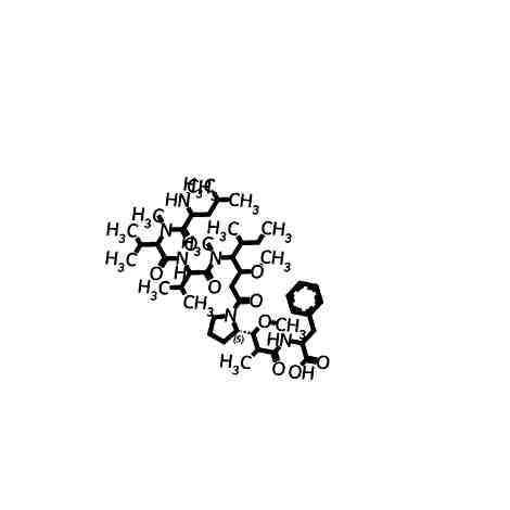 CCC(C)C(C(CC(=O)N1CCC[C@H]1C(OC)C(C)C(=O)NC(Cc1ccccc1)C(=O)O)OC)N(C)C(=O)C(NC(=O)C(C(C)C)N(C)C(=O)C(CC(C)C)NC)C(C)C